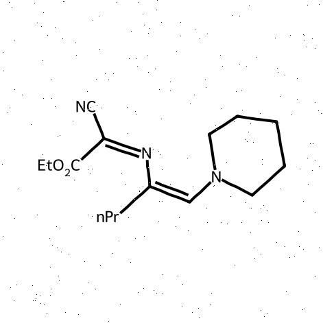 CCCC(=CN1CCCCC1)N=C(C#N)C(=O)OCC